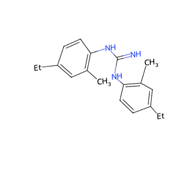 CCc1ccc(NC(=N)Nc2ccc(CC)cc2C)c(C)c1